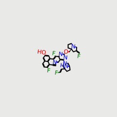 C#Cc1c(F)ccc2cc(O)cc(-c3ncc4c(N5CC6CCC(C=CF)(C5)N6)nc(OC[C@@]56CCCN5C/C(=C/F)C6)nc4c3F)c12